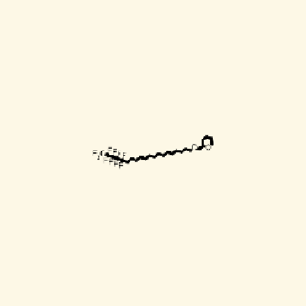 FC(F)(F)C(F)(F)C(F)(F)C(F)(F)C(F)(F)CCCCCCCCCCCCCCCOCC1CCCCO1